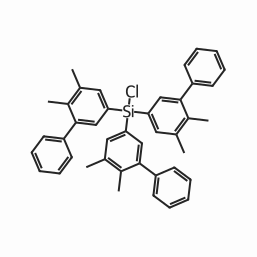 Cc1cc([Si](Cl)(c2cc(C)c(C)c(-c3ccccc3)c2)c2cc(C)c(C)c(-c3ccccc3)c2)cc(-c2ccccc2)c1C